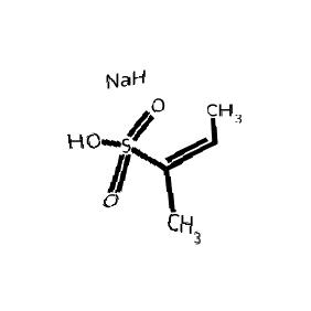 CC=C(C)S(=O)(=O)O.[NaH]